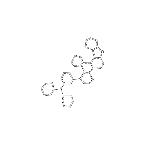 c1ccc(N(c2ccccc2)c2cccc(-c3cccc4c5ccc6oc7ccccc7c6c5c5ccccc5c34)c2)cc1